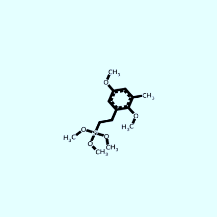 COc1cc(C)c(OC)c(CC[Si](OC)(OC)OC)c1